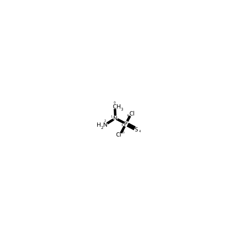 CN(N)P(=S)(Cl)Cl